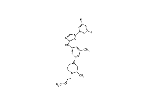 COCCN1CCN(c2cc(C)cc(Nc3ncn(-c4cc(F)cc(F)c4)n3)c2)CC1C